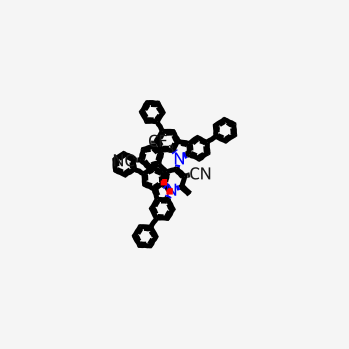 C=C(/C(C#N)=C(\C(=C/C)c1cc(C#N)cc(C(F)(F)F)c1)n1c2ccc(-c3ccccc3)cc2c2cc(-c3ccccc3)ccc21)n1c2ccc(-c3ccccc3)cc2c2cc(-c3ccccc3)ccc21